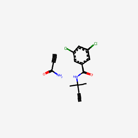 C#CC(C)(C)NC(=O)c1cc(Cl)cc(Cl)c1.C#CC(N)=O